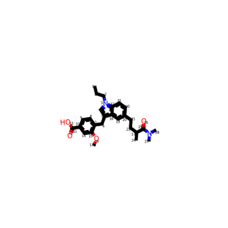 CCCn1cc(Cc2ccc(C(=O)O)cc2OC)c2cc(CCC(C)C(=O)N(C)C)ccc21